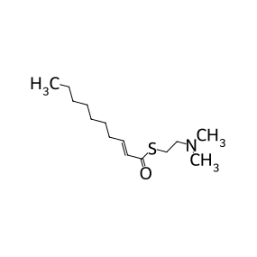 CCCCCCCC=CC(=O)SCCN(C)C